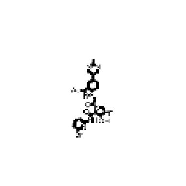 CC(=O)c1nn(CC(=O)N2C[C@H](F)[C@@H](O)[C@H]2C(=O)Nc2cccc(Br)n2)c2ccc(-c3cnc(C)nc3)cc12